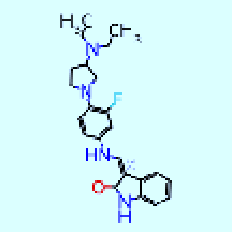 CCN(CC)C1CCN(c2ccc(N/C=C3\C(=O)Nc4ccccc43)cc2F)C1